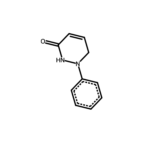 O=C1C=CCN(c2ccccc2)N1